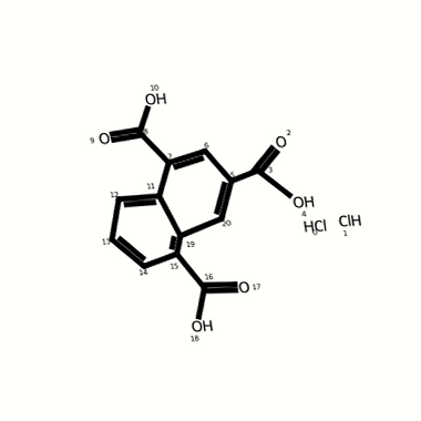 Cl.Cl.O=C(O)c1cc(C(=O)O)c2cccc(C(=O)O)c2c1